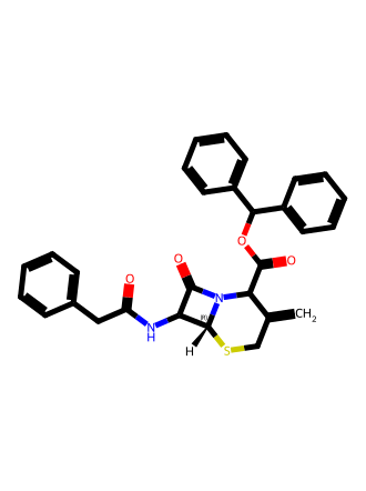 C=C1CS[C@@H]2C(NC(=O)Cc3ccccc3)C(=O)N2C1C(=O)OC(c1ccccc1)c1ccccc1